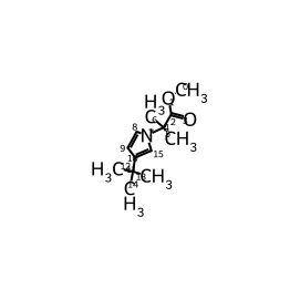 COC(=O)C(C)(C)n1ccc(C(C)(C)C)c1